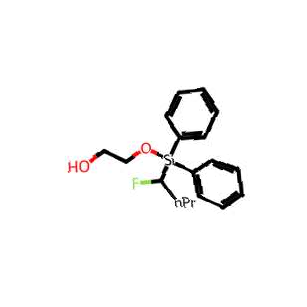 CCCC(F)[Si](OCCO)(c1ccccc1)c1ccccc1